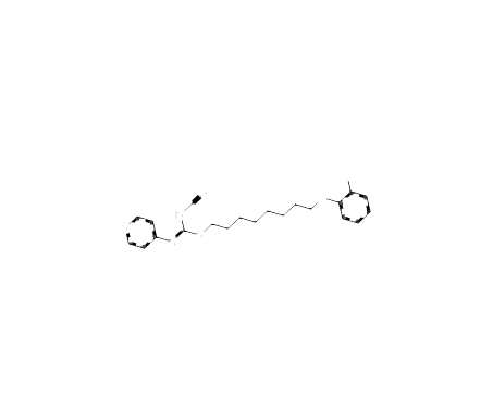 N#CN/C(=N\c1ccncc1)NCCCCCCCCOc1ccccc1F